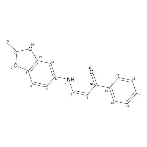 CC1Oc2ccc(N/C=C\C(=O)c3ccccc3)cc2O1